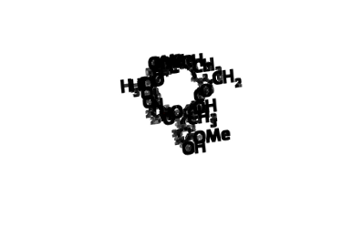 C=CC[C@@H]1/C=C(\C)CC(C)(C)C[C@H](OC)[C@H]2O[C@@](O)(C(=O)C(=O)N3CCCC[C@H]3C(=O)O[C@H](/C(C)=C/[C@@H]3CC[C@@H](O)[C@H](OC)C3)[C@H](C)[C@@H](O)CC1=O)[C@H](C)C[C@@H]2OC